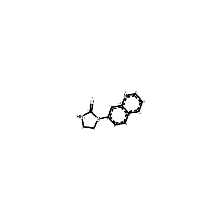 O=C1NCCN1c1ccc2cccnc2c1